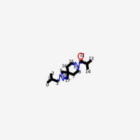 CC(C)CN1CC2(CCN(C(=O)C(C)C)CC2)C1